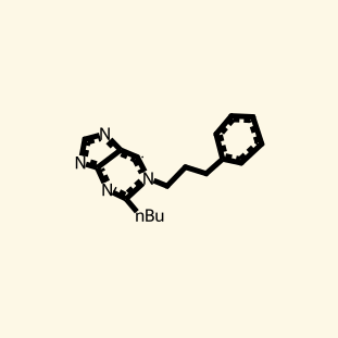 CCCCc1nc2ncnc-2[c]n1CCCc1ccccc1